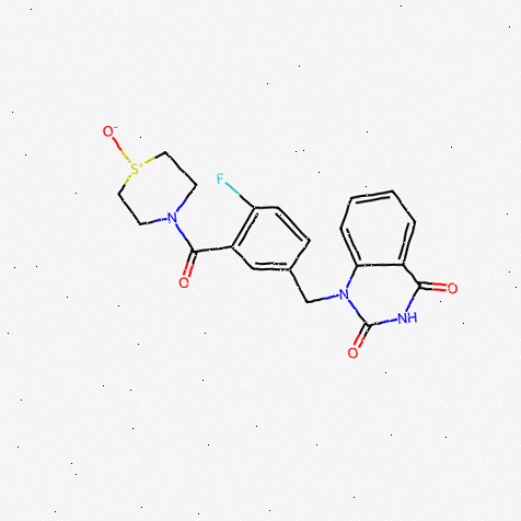 O=C(c1cc(Cn2c(=O)[nH]c(=O)c3ccccc32)ccc1F)N1CC[S+]([O-])CC1